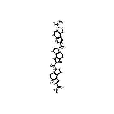 CNC(=O)c1cc2c3c(ccc2[nH]1)N(C(=O)c1cc2c4c(ccc2[nH]1)N(C(=O)c1cc2c5c(ccc2[nH]1)N(C(N)=O)CC5)CC4)CC3